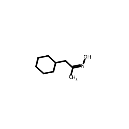 C/C(CC1CCCCC1)=N/O